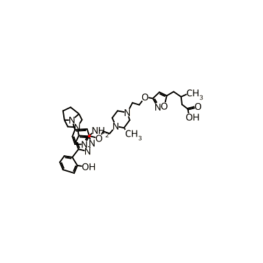 CC(CC(=O)O)Cc1cc(OCCN2CCN(CCOc3cc(N4C5CCC4CN(c4cc(-c6ccccc6O)nnc4N)C5)ccn3)[C@H](C)C2)no1